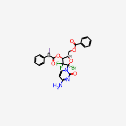 Nc1ccn([C@]2(Br)O[C@H](COC(=O)c3ccccc3)C(OC(=O)B(I)c3ccccc3)C2(F)F)c(=O)n1